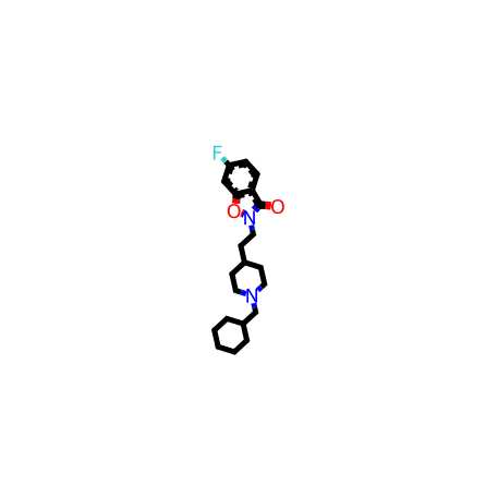 O=c1c2ccc(F)cc2on1CCC1CCN(CC2CCCCC2)CC1